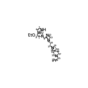 CCOC(=O)CN(Cc1ncc[nH]1)Cc1nccn1CCCN1CCC2(CCN(CC(C)C)CC2)C1